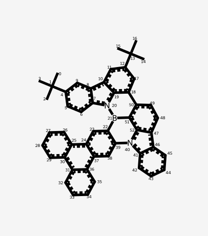 CC(C)(C)c1ccc2c(c1)c1cc(C(C)(C)C)cc3c1n2B1c2cc4c5ccccc5c5ccccc5c4cc2-n2c4ccccc4c4ccc-3c1c42